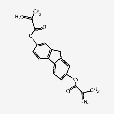 C=C(C)C(=O)Oc1ccc2c(c1)Cc1cc(OC(=O)C(=C)C(F)(F)F)ccc1-2